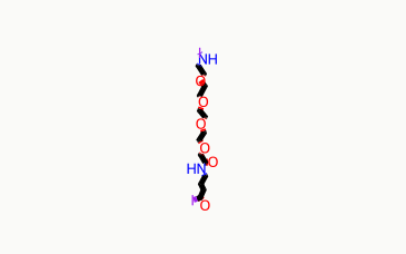 O=C(I)CCCNC(=O)COCCOCCOCCOCCNI